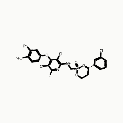 CC(C)c1cc(Oc2c(Cl)c(F)nc(NCP3(=O)OCC[C@@H](c4cccc(Cl)c4)O3)c2Cl)ccc1O